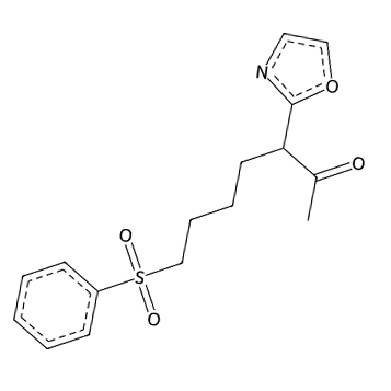 CC(=O)C(CCCCS(=O)(=O)c1ccccc1)c1ncco1